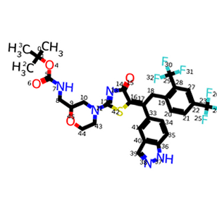 CC(C)(C)OC(=O)NCC1CN(C2=NC(=O)C(=C(Cc3ccc(C(F)(F)F)cc3C(F)(F)F)c3ccc4[nH]ncc4c3)S2)CCO1